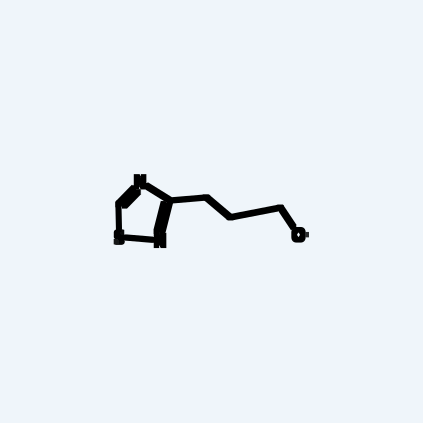 [O]CCCc1ncsn1